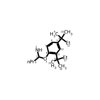 CCCC([NH])Oc1ccc(C(C)(C)CC)cc1C(C)(C)CC